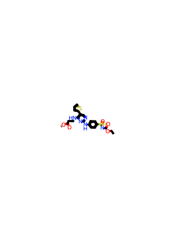 CCOC(=O)N=[SH](=O)c1ccc(Nc2ncc(-c3cccs3)c(NCCC(=O)OC)n2)cc1